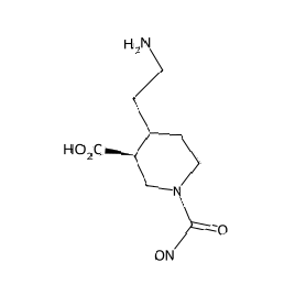 NCCC1CCN(C(=O)N=O)C[C@H]1C(=O)O